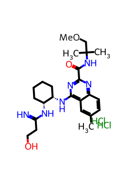 COCC(C)(C)NC(=O)c1nc(N[C@H]2CCCC[C@H]2NC(=N)CCO)c2cc(C)ccc2n1.Cl.Cl